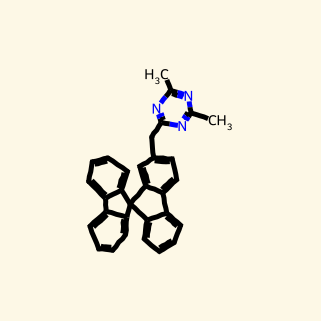 Cc1nc(C)nc(Cc2ccc3c(c2)C2(c4ccccc4-c4ccccc42)c2ccccc2-3)n1